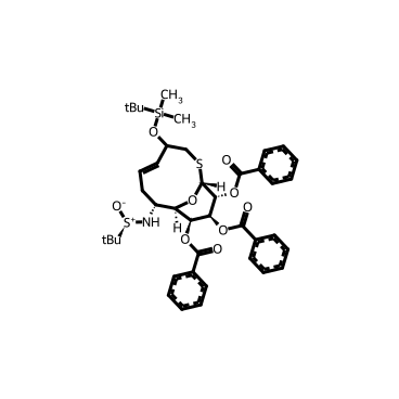 CC(C)(C)[S@@+]([O-])N[C@@H]1C/C=C/C(O[Si](C)(C)C(C)(C)C)CS[C@H]2O[C@H]1[C@H](OC(=O)c1ccccc1)[C@H](OC(=O)c1ccccc1)[C@H]2OC(=O)c1ccccc1